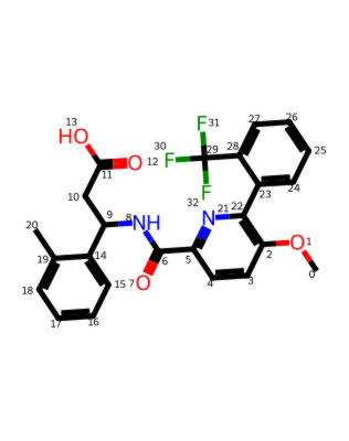 COc1ccc(C(=O)NC(CC(=O)O)c2ccccc2C)nc1-c1ccccc1C(F)(F)F